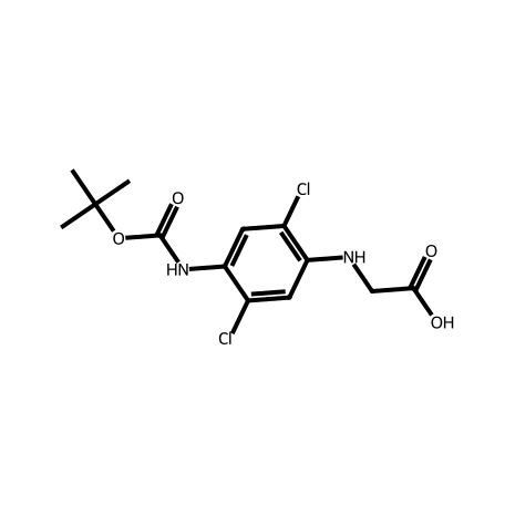 CC(C)(C)OC(=O)Nc1cc(Cl)c(NCC(=O)O)cc1Cl